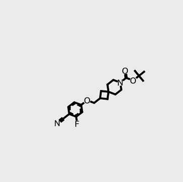 CC(C)(C)OC(=O)N1CCC2(CC1)CC(COc1ccc(C#N)c(F)c1)C2